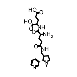 CN1CCC(CNC(=O)CCC(N)C(=O)NC(CCC(=O)O)C(=O)O)[C@H]1c1cccnc1